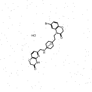 Cl.O=C1COc2ccc(CNC34CCC(CCN5C(=O)COc6ccc(Br)cc65)(CC3)OC4)nc2N1